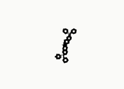 CC(C)c1ccc(N(c2ccccc2)c2ccc3cc4c(cc3c2)oc2cc3cc(N(c5ccccc5)c5ccc(C(C)C)cc5)ccc3cc24)cc1